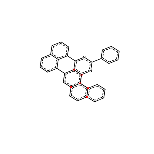 c1ccc(-c2nc(-c3ccccc3)nc(-c3cccc4cccc(-c5ccc(-c6ccccn6)cc5)c34)n2)cc1